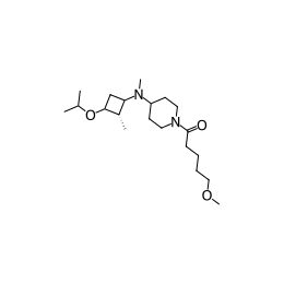 COCCCCC(=O)N1CCC(N(C)C2CC(OC(C)C)[C@H]2C)CC1